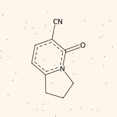 N#Cc1ccc2n(c1=O)CCC2